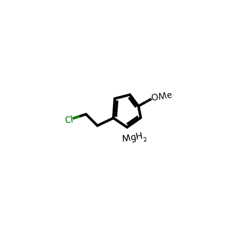 COc1ccc(CCCl)cc1.[MgH2]